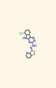 Clc1cccc2c1[nH]c1nc(N/N=C3\CCc4cccnc43)nnc12